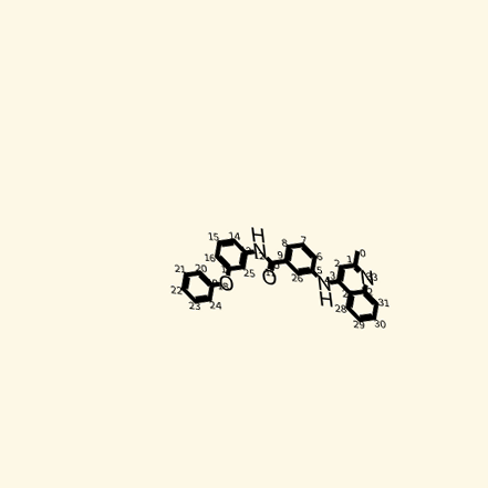 Cc1cc(Nc2cccc(C(=O)Nc3cccc(Oc4ccccc4)c3)c2)c2ccccc2n1